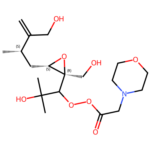 C=C(CO)[C@@H](C)C[C@@H]1O[C@@]1(CO)C(OOC(=O)CN1CCOCC1)C(C)(C)O